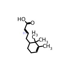 CC1=CCCC(C/C=C/C(=O)O)C1(C)C